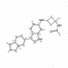 CC(=O)NC1(C)CC(Nc2ncc3c(-c4ccc5nncn5c4)c[nH]c3n2)C1